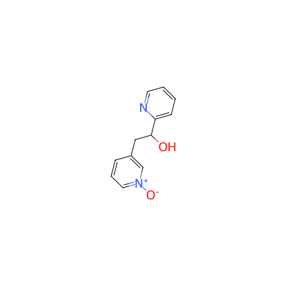 [O-][n+]1cccc(CC(O)c2ccccn2)c1